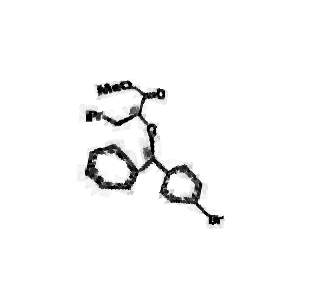 COC(=O)[C@H](CC(C)C)O[C@H](c1ccccc1)c1ccc(Br)cc1